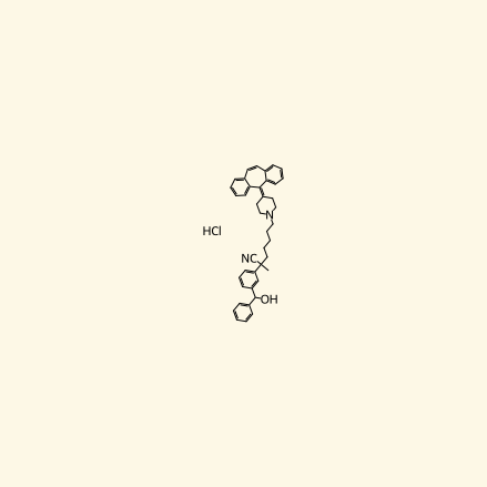 CC(C#N)(CCCCCN1CCC(=C2c3ccccc3C=Cc3ccccc32)CC1)c1cccc(C(O)c2ccccc2)c1.Cl